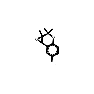 CC1(C)Oc2ccc(C(F)(F)F)cc2C2OC21C